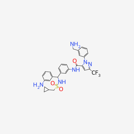 NCc1cccc(-n2nc(C(F)(F)F)cc2C(=O)Nc2cccc(C(NS(=O)(=O)CC3CC3)c3cccc(N)c3)c2)c1